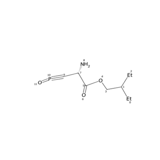 CCC(CC)COC(=O)[C@@H](N)C#P=O